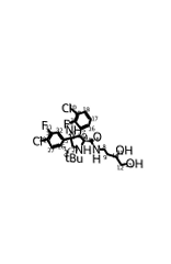 CC(C)(C)C[C@H]1N[C@H](C(=O)NCC[C@H](O)CO)[C@@H](c2cccc(Cl)c2F)[C@]1(N)c1ccc(Cl)c(F)c1